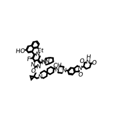 CCc1cccc2cc(O)cc(-c3ncc4c(N5CC6CCC(C5)N6)nc(OCC5(CN6CCC7(CC6)CCC(C)(N6CCN(c8ccc9c(c8)CN(C8CCC(=O)NC8=O)C9=O)CC6)CC7)CC5)nc4c3F)c12